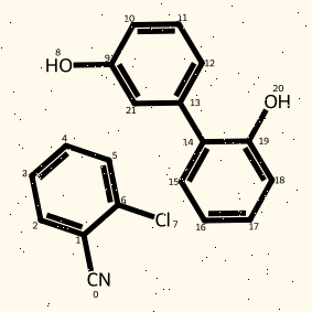 N#Cc1ccccc1Cl.Oc1cccc(-c2ccccc2O)c1